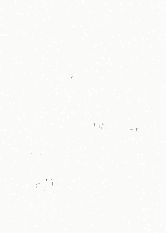 CCNc1ccc(N)c(C)c1CCN1CCCCC1